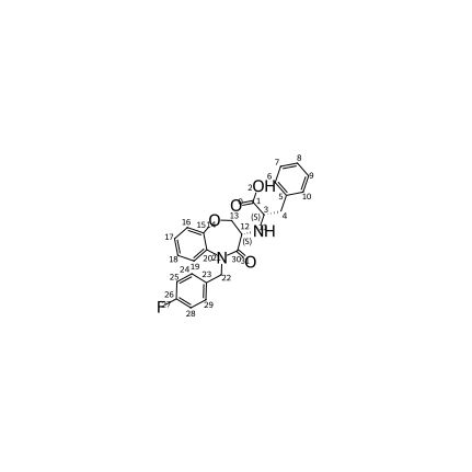 O=C(O)[C@H](Cc1ccccc1)N[C@H]1COc2ccccc2N(Cc2ccc(F)cc2)C1=O